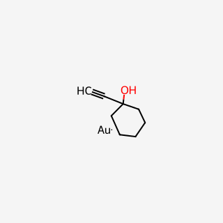 C#CC1(O)CCCCC1.[Au]